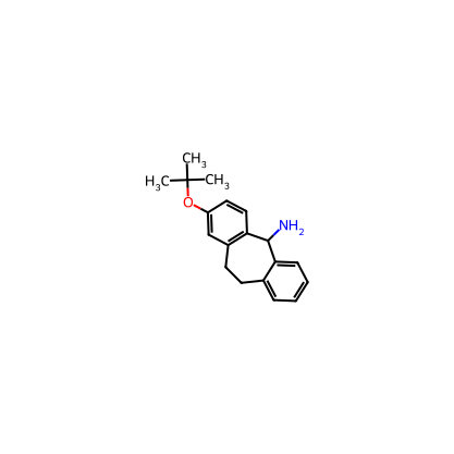 CC(C)(C)Oc1ccc2c(c1)CCc1ccccc1C2N